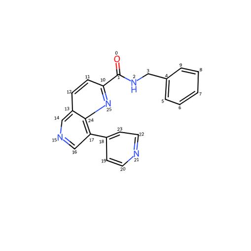 O=C(NCc1ccccc1)c1ccc2cncc(-c3ccncc3)c2n1